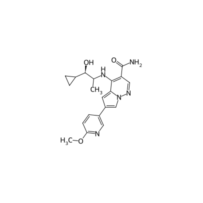 COc1ccc(-c2cc3c(NC(C)[C@H](O)C4CC4)c(C(N)=O)cnn3c2)cn1